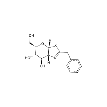 OC[C@H]1O[C@@H]2SC(Cc3ccccc3)=N[C@@H]2[C@@H](O)[C@@H]1O